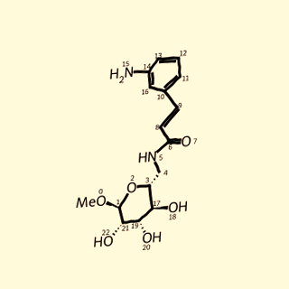 CO[C@H]1O[C@H](CNC(=O)C=Cc2cccc(N)c2)[C@@H](O)[C@H](O)[C@@H]1O